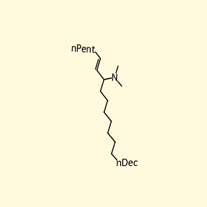 CCCCC/C=C/C(CCCCCCCCCCCCCCCCC)N(C)C